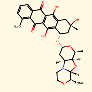 COc1cccc2c1C(=O)c1c(O)c3c(c(O)c1C2=O)C[C@](C)(O)C[C@@H]3O[C@H]1C[C@H]2[C@H](O[C@@H]3[C@@H](OC)OCCN32)[C@H](C)O1